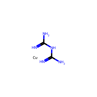 N=C(N)NC(=N)N.[Cu]